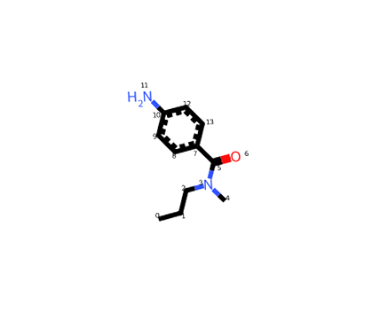 CCCN(C)C(=O)c1ccc(N)cc1